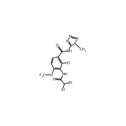 CCC(CC)C(=O)Nc1c(OC(F)(F)F)ccc(C(=O)Nc2nnnn2C)c1Cl